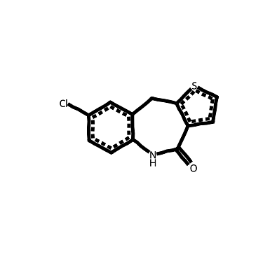 O=C1Nc2ccc(Cl)cc2Cc2sccc21